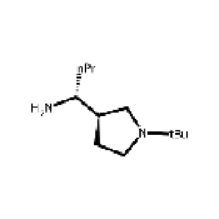 CCC[C@@H](N)[C@@H]1CCN(C(C)(C)C)C1